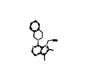 C#CCn1c(C)c(C)c2ccnc(N3CCc4ccccc4C3)c21